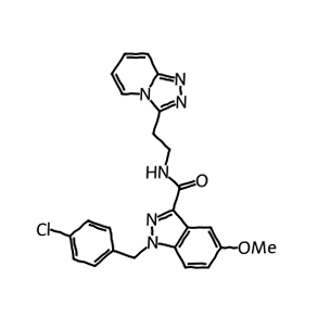 COc1ccc2c(c1)c(C(=O)NCCc1nnc3ccccn13)nn2Cc1ccc(Cl)cc1